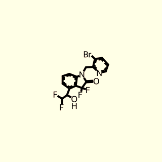 O=C1N(Cc2ncccc2Br)c2cccc(C(O)C(F)F)c2C1(F)F